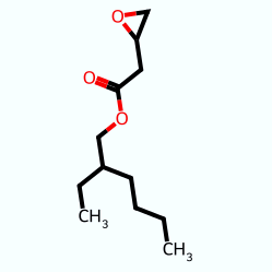 CCCCC(CC)COC(=O)CC1CO1